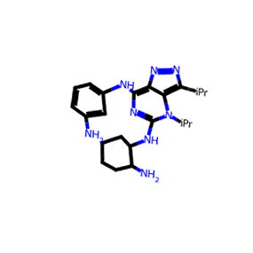 CC(C)c1nnc2c(Nc3cccc(N)c3)nc(NC3CCCCC3N)n(C(C)C)c1-2